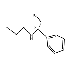 CCCN[C@H](CO)c1ccccc1